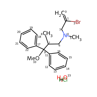 C=C(Br)CN(C)CC(C)C(OC)(c1ccccc1)c1ccccc1.Cl.O